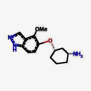 COc1c(O[C@H]2CCC[C@@H](N)C2)ccc2[nH]ncc12